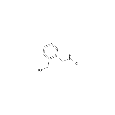 OCc1ccccc1CNCl